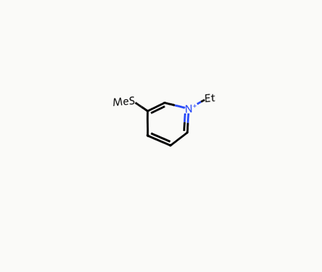 CC[n+]1cccc(SC)c1